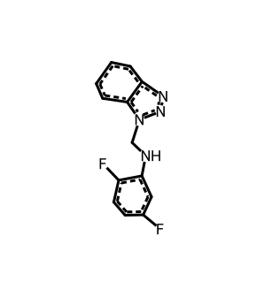 Fc1ccc(F)c(NCn2nnc3ccccc32)c1